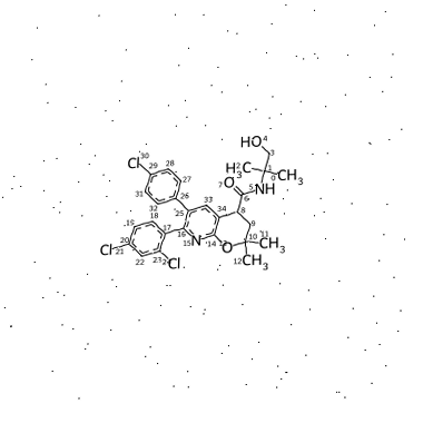 CC(C)(CO)NC(=O)C1CC(C)(C)Oc2nc(-c3ccc(Cl)cc3Cl)c(-c3ccc(Cl)cc3)cc21